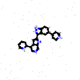 c1ccc(-c2cncc3[nH]c(-c4n[nH]c5ccc(-c6ccncc6)cc45)cc23)nc1